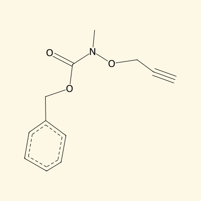 C#CCON(C)C(=O)OCc1ccccc1